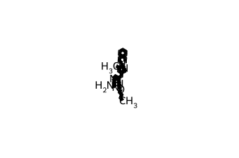 CCCCOc1nc(N)c2ncc(Cc3cnc(N4CCC5(CCCCC5)CC4)c(C)c3)n2n1